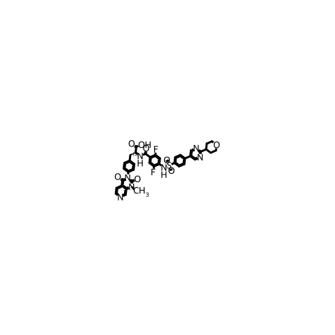 Cn1c(=O)n(-c2ccc(C[C@H](NC(=O)c3cc(F)c(NS(=O)(=O)c4ccc(-c5cnc(C6CCOCC6)nc5)cc4)cc3F)C(=O)O)cc2)c(=O)c2ccncc21